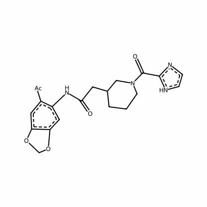 CC(=O)c1cc2c(cc1NC(=O)CC1CCCN(C(=O)c3ncc[nH]3)C1)OCO2